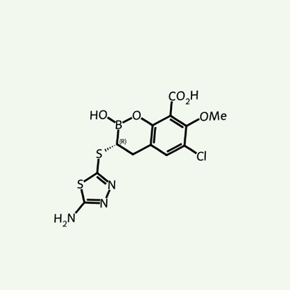 COc1c(Cl)cc2c(c1C(=O)O)OB(O)[C@@H](Sc1nnc(N)s1)C2